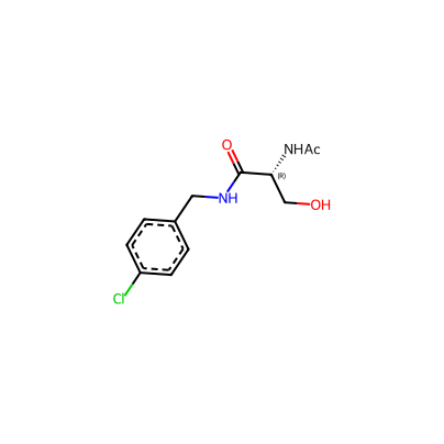 CC(=O)N[C@H](CO)C(=O)NCc1ccc(Cl)cc1